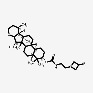 C[C@@H]1CCOC2[C@H]1[C@@]1(C)CCC34C[C@@]35CC[C@H](OC(=O)NCCN3CC(F)C3)C(C)(C)[C@@H]5CCC4C1(C)[C@H]2O